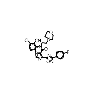 N#Cc1c(Cl)ccc2c1n(CCN1CCOCC1)c(=O)c1c(-c3nc(-c4ccc(F)cc4)no3)ncn12